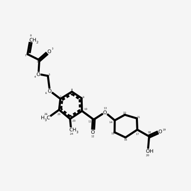 C=CC(=O)OCOc1ccc(C(=O)OC2CCC(C(=O)O)CC2)c(C)c1C